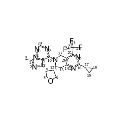 Cc1nc([C@@H]2CCOC2)c2c(N3CCc4nc(C5CC5)nc(C(F)(F)F)c4C3)ncnn12